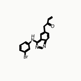 C=CC(=O)Cc1ccc2ncnc(Nc3cccc(Br)c3)c2c1